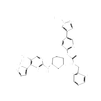 Cn1cc(-c2ccc(N(C(=O)NCc3ccccc3)[C@H]3CC[C@H](Nc4ncc(C#N)c(-c5ccnn5C)n4)CC3)nc2)cn1